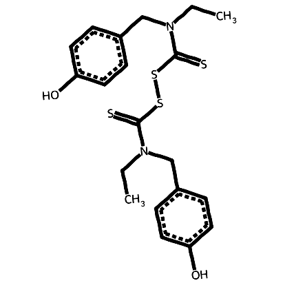 CCN(Cc1ccc(O)cc1)C(=S)SSC(=S)N(CC)Cc1ccc(O)cc1